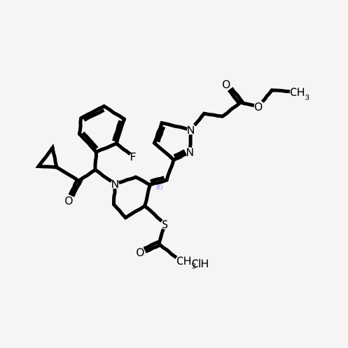 CCOC(=O)CCn1ccc(/C=C2\CN(C(C(=O)C3CC3)c3ccccc3F)CCC2SC(C)=O)n1.Cl